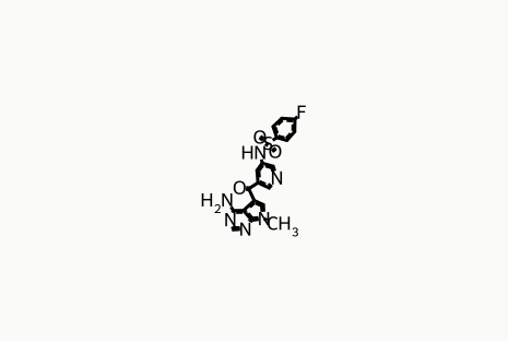 Cn1cc(C(=O)c2cncc(NS(=O)(=O)c3ccc(F)cc3)c2)c2c(N)ncnc21